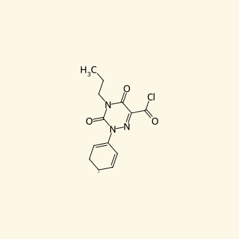 CCCn1c(=O)c(C(=O)Cl)nn(C2=CC[CH]C=C2)c1=O